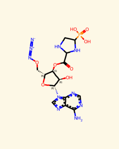 [N-]=[N+]=NOC[C@H]1O[C@@H](n2cnc3c(N)ncnc32)[C@H](O)[C@@H]1OC(=O)C1NCC(P(=O)(O)O)N1